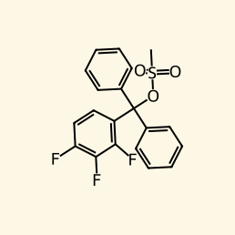 CS(=O)(=O)OC(c1ccccc1)(c1ccccc1)c1ccc(F)c(F)c1F